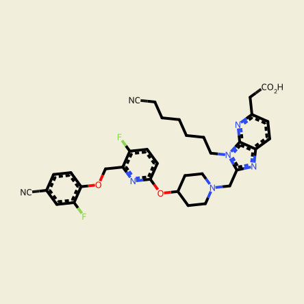 N#CCCCCCCn1c(CN2CCC(Oc3ccc(F)c(COc4ccc(C#N)cc4F)n3)CC2)nc2ccc(CC(=O)O)nc21